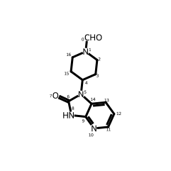 O=CN1CCC(n2c(=O)[nH]c3ncccc32)CC1